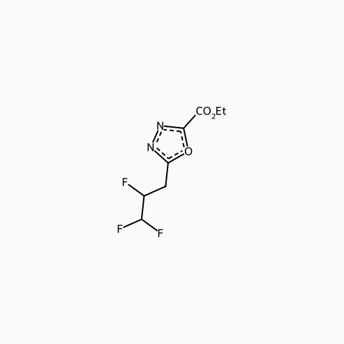 CCOC(=O)c1nnc(CC(F)C(F)F)o1